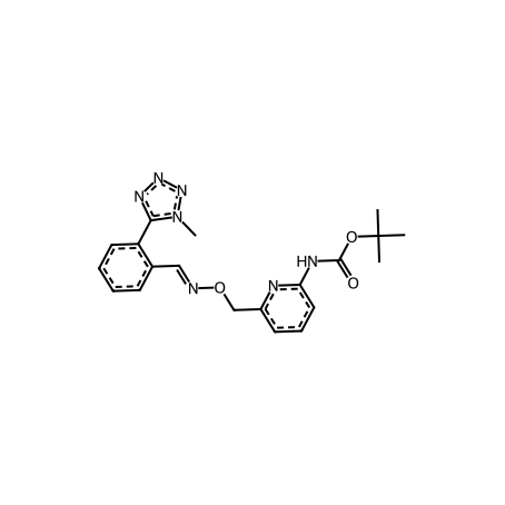 Cn1nnnc1-c1ccccc1C=NOCc1cccc(NC(=O)OC(C)(C)C)n1